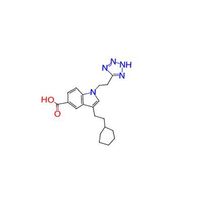 O=C(O)c1ccc2c(c1)c(CCC1CCCCC1)cn2CCc1nn[nH]n1